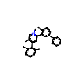 Cc1c[n+](C)c(-c2cc(-c3ccccc3)ccc2C)cc1-c1c(C)cccc1C